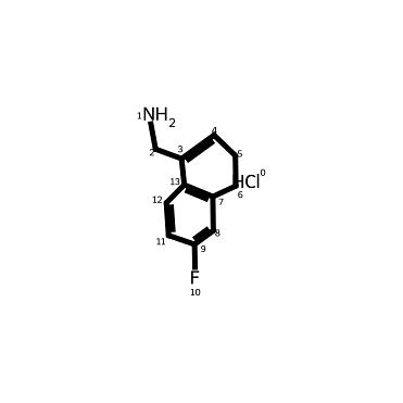 Cl.NCC1=CCCc2cc(F)ccc21